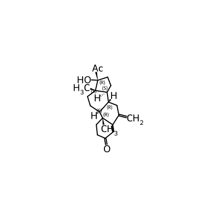 C=C1C[C@@H]2[C@H](CC[C@@]3(C)[C@H]2CC[C@]3(O)C(C)=O)[C@@]2(C)CCC(=O)C=C12